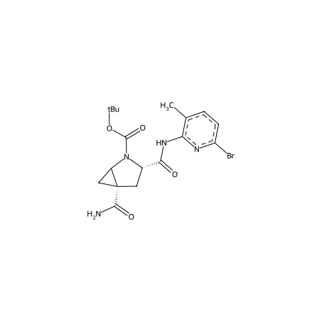 Cc1ccc(Br)nc1NC(=O)[C@@H]1C[C@@]2(C(N)=O)CC2N1C(=O)OC(C)(C)C